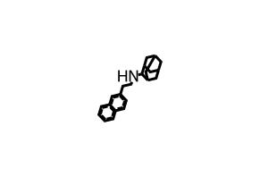 c1ccc2cc(CCNC3C4CC5CC(C4)CC3C5)ccc2c1